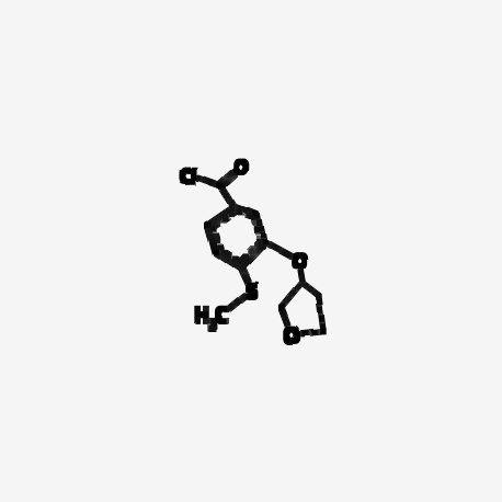 CSc1ccc(C(=O)Cl)cc1OC1CCOC1